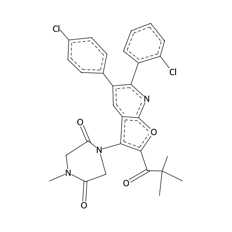 CN1CC(=O)N(c2c(C(=O)C(C)(C)C)oc3nc(-c4ccccc4Cl)c(-c4ccc(Cl)cc4)cc23)CC1=O